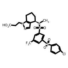 CN([C@@H]1CCCc2c1cnn2CCC(=O)O)S(=O)(=O)c1cc(C(F)(F)F)cc(S(=O)(=O)c2ccc(Cl)cc2)c1